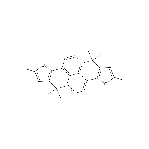 Cc1cc2c(o1)-c1ccc3c4c(ccc(c14)C2(C)C)-c1oc(C)cc1C3(C)C